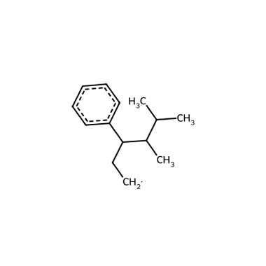 [CH2]CC(c1ccccc1)C(C)C(C)C